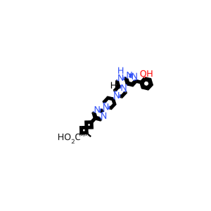 C[C@H]1[C@@H](C(=O)O)CC12CC(c1cnc(N3CCC(N4CCN5c6cc(-c7ccccc7O)nnc6NC[C@H]5C4)CC3)nc1)C2